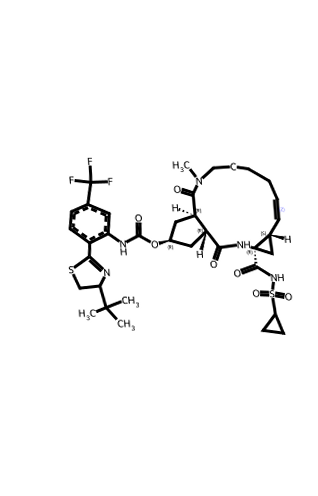 CN1CCCC/C=C\[C@@H]2C[C@@]2(C(=O)NS(=O)(=O)C2CC2)NC(=O)[C@@H]2C[C@@H](OC(=O)Nc3cc(C(F)(F)F)ccc3C3=NC(C(C)(C)C)CS3)C[C@H]2C1=O